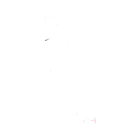 CC(CCC(C)(C)O)c1ccc([C@H]2CCCC(=O)[C@@H]2C)cc1